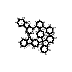 c1ccc(-c2cccc(-c3nc(-n4c5ccccc5c5ccc(C6(c7ccccc7)c7ccccc7-c7ccccc76)cc54)nc4c3oc3ccccc34)c2)cc1